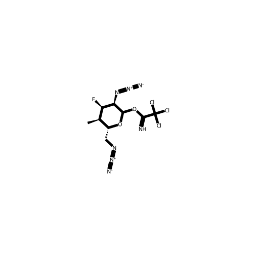 C[C@H]1[C@@H](F)[C@@H](N=[N+]=[N-])C(OC(=N)C(Cl)(Cl)Cl)O[C@@H]1CN=[N+]=[N-]